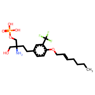 CCCC/C=C/COc1ccc(CCC(N)(CO)COP(=O)(O)O)cc1C(F)(F)F